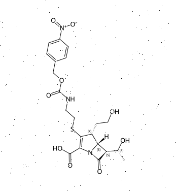 C[C@@H](O)[C@H]1C(=O)N2C(C(=O)O)=C(SCCNC(=O)OCc3ccc([N+](=O)[O-])cc3)[C@H](CCO)[C@H]12